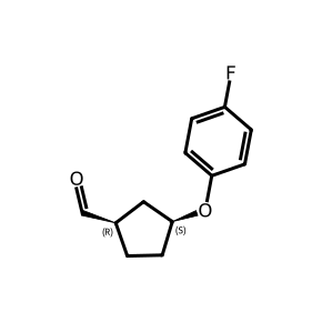 O=C[C@@H]1CC[C@H](Oc2ccc(F)cc2)C1